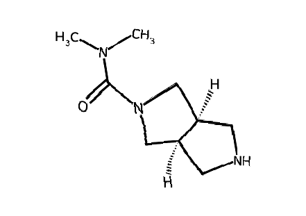 CN(C)C(=O)N1C[C@H]2CNC[C@H]2C1